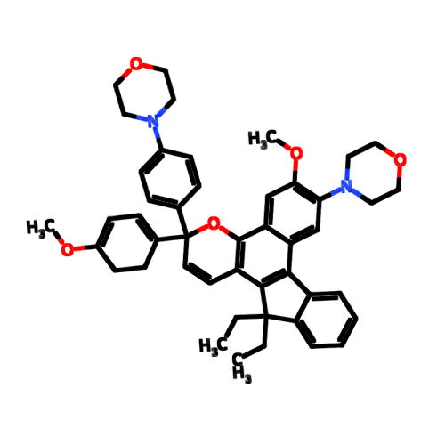 CCC1(CC)c2ccccc2-c2c1c1c(c3cc(OC)c(N4CCOCC4)cc23)OC(C2=CC=C(OC)CC2)(c2ccc(N3CCOCC3)cc2)C=C1